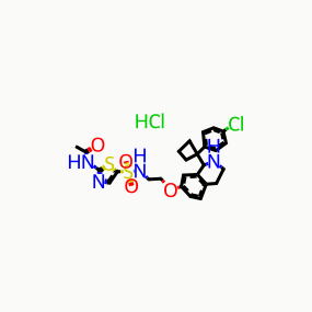 CC(=O)Nc1ncc(S(=O)(=O)NCCOc2ccc3c(c2)C(C2(c4ccc(Cl)cc4)CCC2)NCC3)s1.Cl